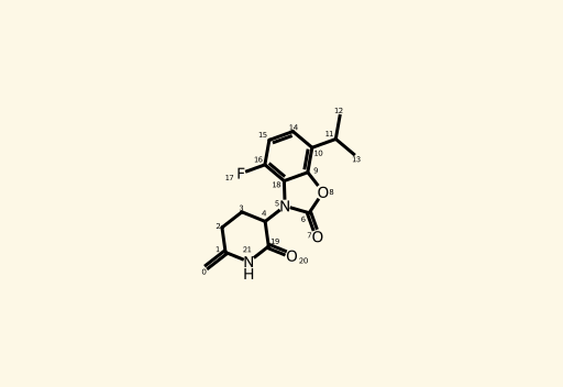 C=C1CCC(n2c(=O)oc3c(C(C)C)ccc(F)c32)C(=O)N1